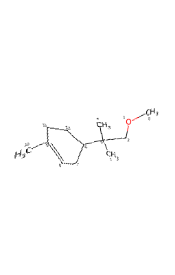 COCC(C)(C)C1CC=C(C)CC1